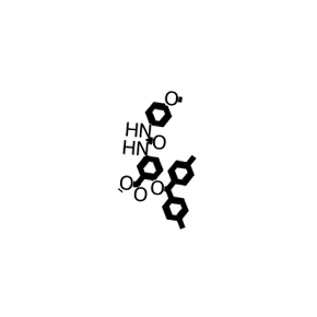 COC(=O)c1cc(NC(=O)Nc2ccc(OC)cc2)ccc1OC(c1ccc(C)cc1)c1ccc(C)cc1